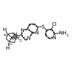 Nc1nccc(Sc2ccc3nc(N4C[C@H]5C[C@@H](C4)[C@H]5N)cnc3n2)c1Cl